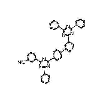 N#Cc1cccc(-c2nc(-c3ccccc3)nc(-c3ccc(-c4cccc(-c5nc(-c6ccccc6)nc(-c6ccccc6)n5)c4)cc3)n2)c1